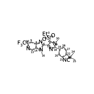 CCS(=O)(=O)c1c(-c2nc3cc(C(F)(F)F)ncc3n2C)nc(-c2ccc(C(C)(C)C#N)cc2)n1C